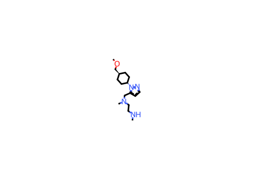 CNCCN(C)Cc1ccnn1[C@H]1CC[C@H](COC)CC1